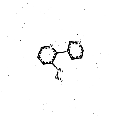 NNc1cccnc1-c1cccnc1